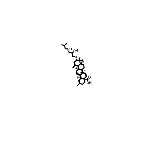 CC(C)CNCC(O)CO[C@H]1CC(C)[C@]2(C)[C@H]3CC=C4[C@@H]5[C@@H](C)[C@H](C)CC[C@]5(C(=O)O)CC[C@@]4(C)[C@]3(C)CC[C@H]2C1(C)C